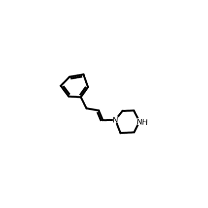 C(=CN1CCNCC1)Cc1ccccc1